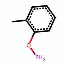 Cc1ccccc1OP